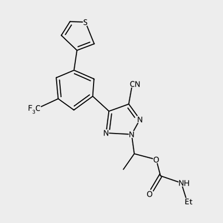 CCNC(=O)OC(C)n1nc(C#N)c(-c2cc(-c3ccsc3)cc(C(F)(F)F)c2)n1